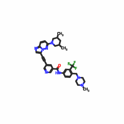 CC1CC(C)CN(c2ccc3ncc(C#Cc4cncc(C(=O)Nc5ccc(CN6CCN(C)CC6)c(C(F)(F)F)c5)c4)n3n2)C1